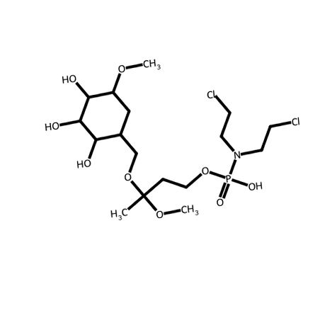 COC1CC(COC(C)(CCOP(=O)(O)N(CCCl)CCCl)OC)C(O)C(O)C1O